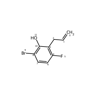 C=CCc1c(F)ccc(Br)c1O